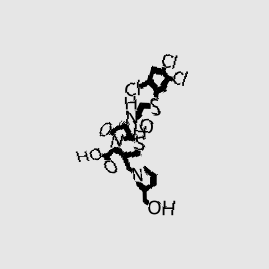 O=C(CSc1cc(Cl)c(Cl)cc1Cl)N[C@H]1C(=O)N2C(C(=O)O)=C(C[n+]3cccc(CO)c3)CS[C@H]12